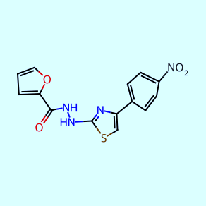 O=C(NNc1nc(-c2ccc([N+](=O)[O-])cc2)cs1)c1ccco1